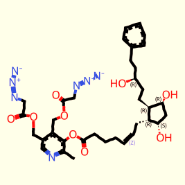 Cc1ncc(COC(=O)CN=[N+]=[N-])c(COC(=O)CN=[N+]=[N-])c1OC(=O)CCC/C=C\C[C@@H]1[C@@H](CC[C@@H](O)CCc2ccccc2)[C@H](O)C[C@@H]1O